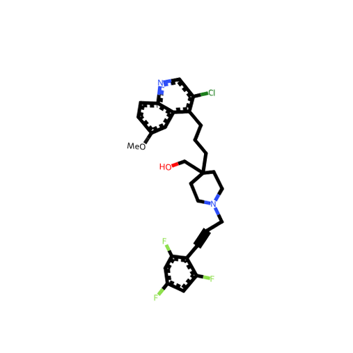 COc1ccc2ncc(Cl)c(CCCC3(CO)CCN(CC#Cc4c(F)cc(F)cc4F)CC3)c2c1